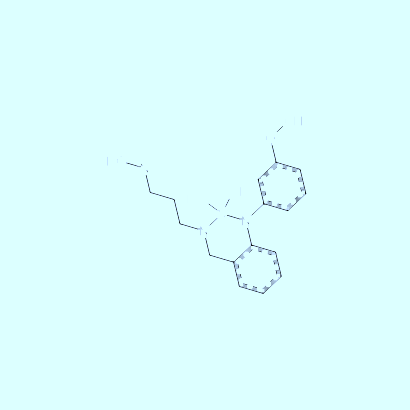 CNCCCN1Cc2ccccc2N(c2cccc(OC)c2)S1(O)O